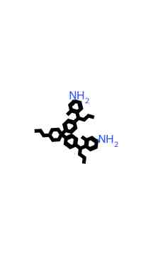 CCCC1CCC(c2ccc(C(CCC)c3ccc(N)cc3C)cc2)(c2ccc(C(CCC)c3ccc(N)cc3C)cc2)CC1